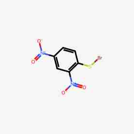 O=[N+]([O-])c1ccc(SBr)c([N+](=O)[O-])c1